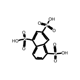 O=S(=O)(O)c1cc(S(=O)(=O)O)c2c[c]cc(S(=O)(=O)O)c2c1